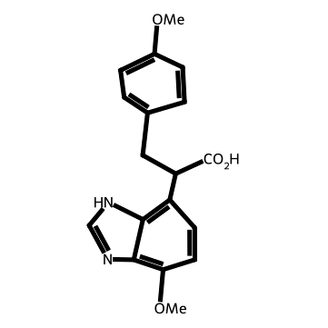 COc1ccc(CC(C(=O)O)c2ccc(OC)c3nc[nH]c23)cc1